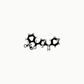 O=C(c1cnc(Nc2ccncc2)s1)c1ccccc1[N+](=O)[O-]